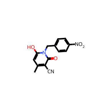 Cc1cc(O)n(Cc2ccc([N+](=O)[O-])cc2)c(=O)c1C#N